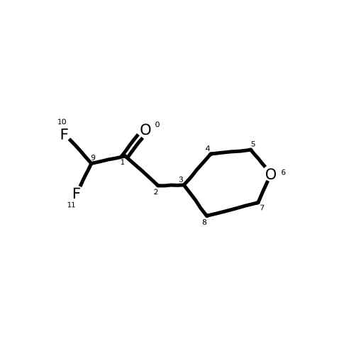 O=C(CC1CCOCC1)C(F)F